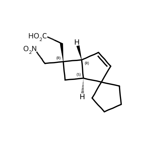 O=C(O)C[C@]1(C[N+](=O)[O-])C[C@H]2[C@H]1C=CC21CCCC1